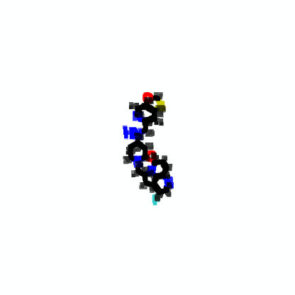 O=c1ccc2ncc(F)c3c2n1C(CN1CCC(NCc2cc4c(cn2)OCS4)CC1)C3